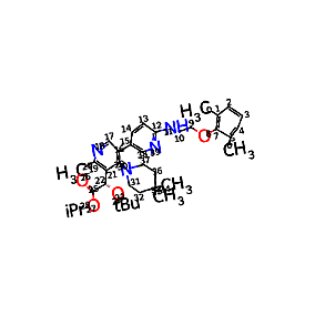 Cc1cccc(C)c1OCCNc1ccc(-c2cnc(C)c([C@H](OC(C)(C)C)C(=O)OC(C)C)c2N2CCC(C)(C)CC2)cn1